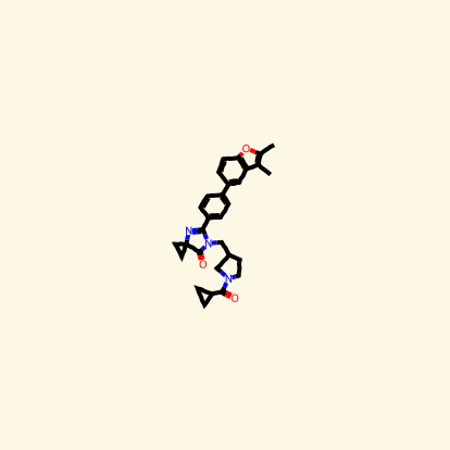 Cc1oc2ccc(-c3ccc(C4=NC5(CC5)C(=O)N4CC4CCN(C(=O)C5CC5)C4)cc3)cc2c1C